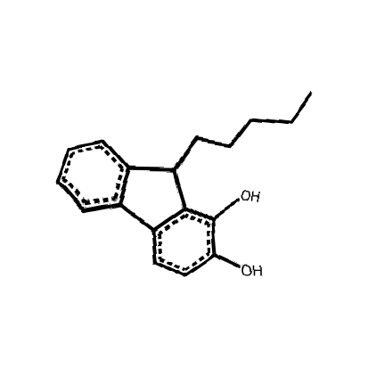 CCCCCC1c2ccccc2-c2ccc(O)c(O)c21